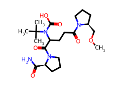 COC[C@@H]1CCCN1C(=O)CCC(C(=O)N1CCC[C@H]1C(N)=O)N(C(=O)O)C(C)(C)C